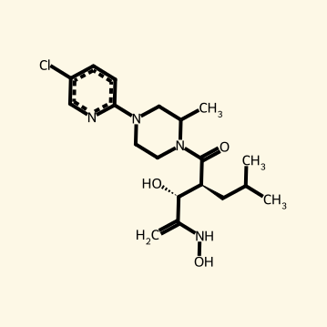 C=C(NO)[C@H](O)[C@H](CC(C)C)C(=O)N1CCN(c2ccc(Cl)cn2)CC1C